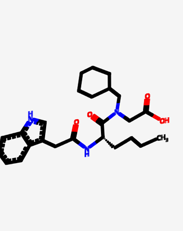 CCCC[C@H](NC(=O)Cc1c[nH]c2ccccc12)C(=O)N(CC(=O)O)CC1CCCCC1